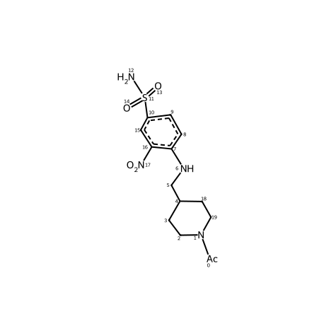 CC(=O)N1CCC(CNc2ccc(S(N)(=O)=O)cc2[N+](=O)[O-])CC1